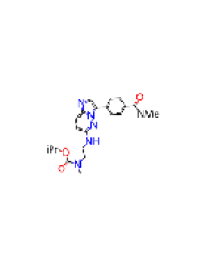 CNC(=O)c1ccc(-c2cnc3ccc(NCCN(C)C(=O)OC(C)C)nn23)cc1